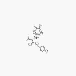 C=C(S[C@@H]1[C@@H](Br)CN1C(C(=O)OCc1ccc(OC)cc1)=C(C)C)C(=O)OC